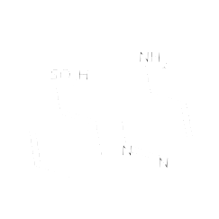 Nc1ccnnc1.O=S(=O)(O)c1ccccc1